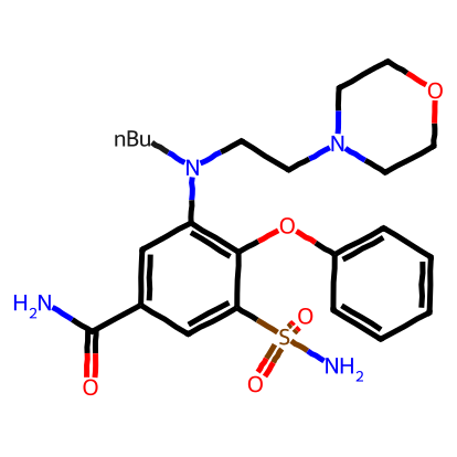 CCCCN(CCN1CCOCC1)c1cc(C(N)=O)cc(S(N)(=O)=O)c1Oc1ccccc1